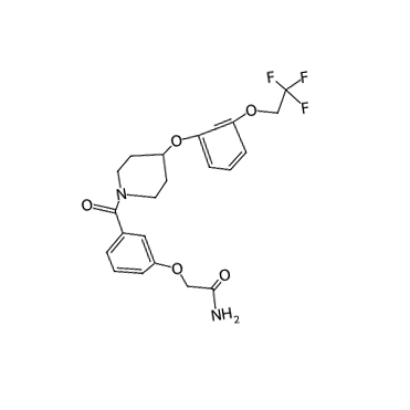 NC(=O)COc1cccc(C(=O)N2CCC(Oc3cccc(OCC(F)(F)F)c3)CC2)c1